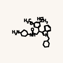 COc1cc(C)cc(C(CC(=O)NC2CCC(N)CC2)c2cn(CC3CCCCC3)c3ccccc23)c1.Cl